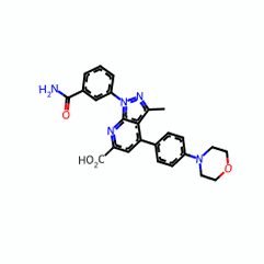 Cc1nn(-c2cccc(C(N)=O)c2)c2nc(C(=O)O)cc(-c3ccc(N4CCOCC4)cc3)c12